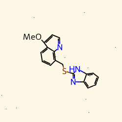 COc1ccnc2c(CSc3nc4ccccc4[nH]3)cccc12